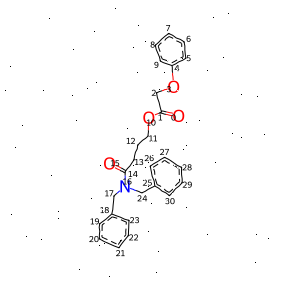 O=C(COc1ccccc1)OCCCC(=O)N(Cc1ccccc1)Cc1ccccc1